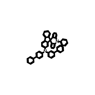 c1ccc(-c2ccc(N(c3cccc(-c4ccccc4)c3)c3ccc4c(c3)C3(c5ccccc5-4)c4ccccc4N(c4ccccc4)c4ccccc43)cc2)cc1